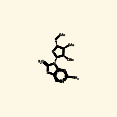 C=C1Sc2cnc(N)nc2N1[C@@H]1O[C@H](COC(C)=O)[C@@H](OC(C)=O)[C@H]1OC(C)=O